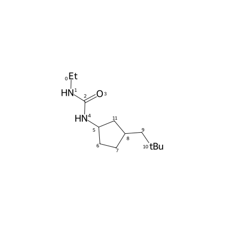 CCNC(=O)NC1CCC(CC(C)(C)C)C1